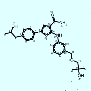 CC(O)Cc1ccc(-c2cc(C(N)=O)c(Nc3cccc(COCC(C)(C)O)n3)s2)cc1